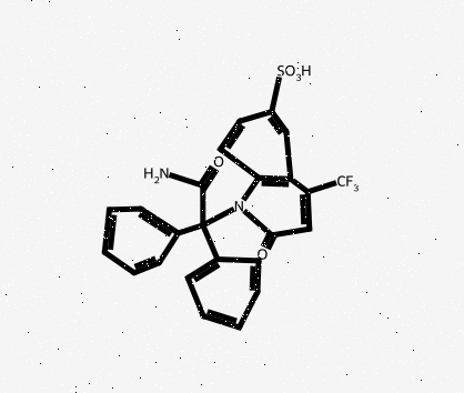 NC(=O)C(c1ccccc1)(c1ccccc1)n1c(=O)cc(C(F)(F)F)c2cc(S(=O)(=O)O)ccc21